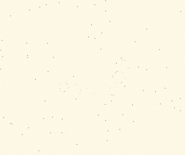 O=C(NC[C@H]1CN(c2ccc(N3CCOCC3=O)cc2)C(=O)O1)Nc1ccc(C(F)(F)F)s1